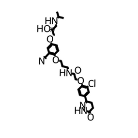 CC(C)NC[C@H](O)COc1ccc(OCCCNC(=O)COc2ccc(C3=NNC(=O)CC3)cc2Cl)c(C#N)c1